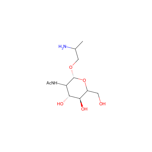 CC(=O)NC1[C@H](OCC(C)N)OC(CO)[C@@H](O)[C@@H]1O